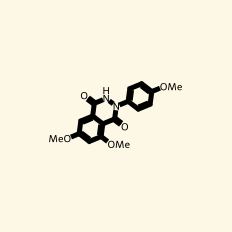 COc1ccc(-n2[nH]c(=O)c3cc(OC)cc(OC)c3c2=O)cc1